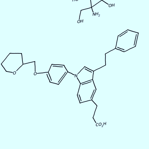 NC(CO)(CO)CO.O=C(O)CCc1ccc2c(c1)c(CCc1ccccc1)cn2-c1ccc(OCC2CCCCO2)cc1